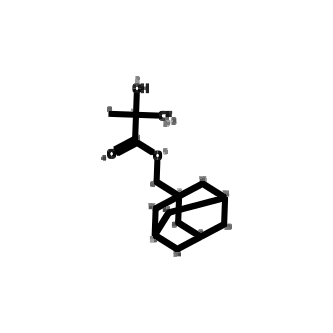 CC(O)(C(=O)OCC12CC3CC(CC(C3)C1)C2)C(F)(F)F